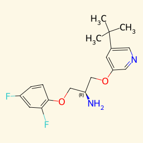 CC(C)(C)c1cncc(OC[C@@H](N)COc2ccc(F)cc2F)c1